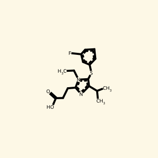 CCn1c(CCC(=O)O)nc(C(C)C)c1Sc1cccc(F)c1